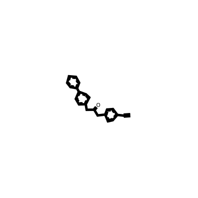 C#Cc1ccc(CC(=O)Cc2ccc(-c3ccccc3)cc2)cc1